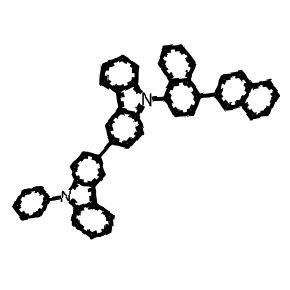 c1ccc(-n2c3ccccc3c3cc(-c4ccc5c(c4)c4ccccc4n5-c4ccc(-c5ccc6ccccc6c5)c5ccccc45)ccc32)cc1